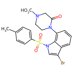 Cc1ccc(S(=O)(=O)n2cc(Br)c3cccc(N4CCN(C(=O)O)CC4=O)c32)cc1